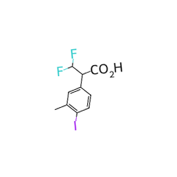 Cc1cc(C(C(=O)O)C(F)F)ccc1I